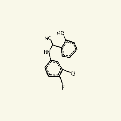 N#CC(Nc1ccc(F)c(Cl)c1)c1ccccc1O